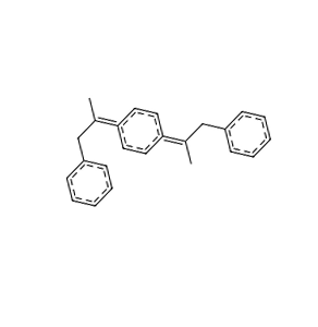 CC(Cc1ccccc1)=c1ccc(=C(C)Cc2ccccc2)cc1